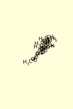 CCOC(=O)COc1cccc(N2CCO[C@H]([C@@H](OC(C)=O)C(=O)Nc3ccc(C#N)c(CN(C(=O)OC(C)(C)C)C(=O)OC(C)(C)C)c3)C2=O)c1